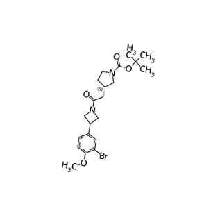 COc1ccc(C2CN(C(=O)C[C@@H]3CCN(C(=O)OC(C)(C)C)C3)C2)cc1Br